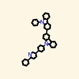 c1ccc(-c2ccc(-c3ccc(-n4c5ccccc5c5cc(-c6ccc7c8ccccc8n(-c8ccccc8)c7c6)ccc54)cc3)cn2)cc1